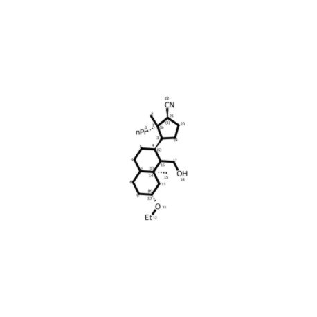 CCC[C@@]1(C)C([C@@H]2CCC3CC[C@@H](OCC)C[C@]3(C)C2CO)CC[C@@H]1C#N